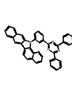 c1ccc(-c2nc(-c3ccccc3)nc(-c3cccc(-n4c5cc6ccccc6cc5c5ccc6ccccc6c54)c3)n2)cc1